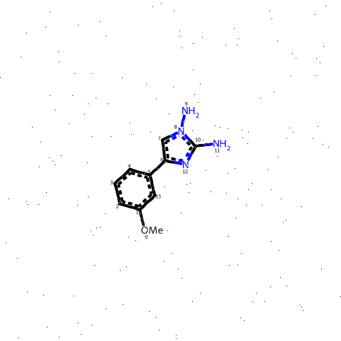 COc1cccc(-c2cn(N)c(N)n2)c1